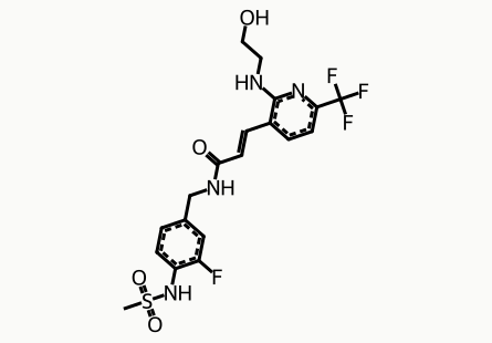 CS(=O)(=O)Nc1ccc(CNC(=O)/C=C/c2ccc(C(F)(F)F)nc2NCCO)cc1F